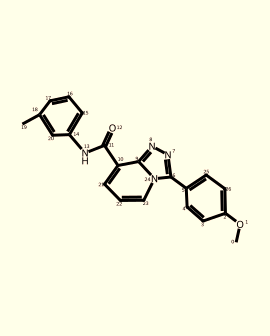 COc1ccc(-c2nnc3c(C(=O)Nc4cccc(C)c4)cccn23)cc1